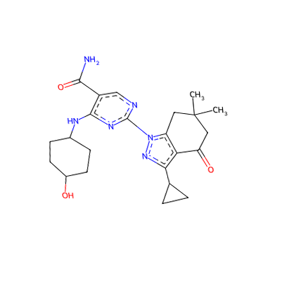 CC1(C)CC(=O)c2c(C3CC3)nn(-c3ncc(C(N)=O)c(NC4CCC(O)CC4)n3)c2C1